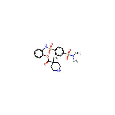 CN(C)S(=O)(=O)c1ccc(S(=O)(=O)Nc2ccccc2OC(=O)C2(C)CCNCC2)cc1